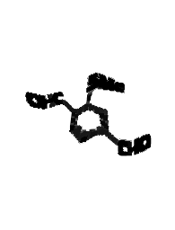 CSc1cc(C=O)ccc1C=O